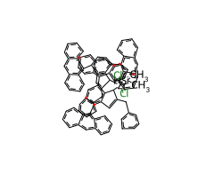 C[SiH](C)[Zr]([Cl])([Cl])([CH]1C(Cc2ccccc2)=Cc2c(-c3c4ccccc4cc4ccccc34)ccc(-c3c4ccccc4cc4ccccc34)c21)[CH]1C(Cc2ccccc2)=Cc2c(-c3c4ccccc4cc4ccccc34)ccc(-c3c4ccccc4cc4ccccc34)c21